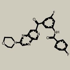 O=C(Nc1cc(F)cc(C(=O)c2cc3nc(N4CCOCC4)cnc3cn2)c1)c1ccc(F)cc1